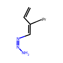 C=C/C(=C\N=N/N)C(C)C